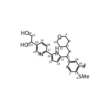 CSc1ccc(C(CC2CCOCC2)c2ccc(-c3ccc(C(O)CO)cn3)[nH]2)cc1F